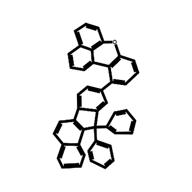 c1ccc(C2(c3ccccc3)c3cc(-c4cccc5c4-c4cccc6cccc(c46)O5)ccc3-c3ccc4ccccc4c32)cc1